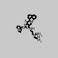 N/C=C\N(N)CCCNc1nc(OCC23CCCN2CCC3)nc2c(F)c(-c3cccc4cccc(F)c34)ncc12